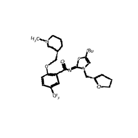 CN1CCC[C@@H](COc2ccc(C(F)(F)F)cc2C(=O)N=c2sc(C(C)(C)C)cn2C[C@H]2CCCO2)C1